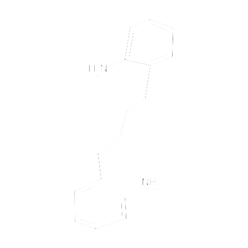 Nc1ccccc1C=CC=Cc1ccccc1N